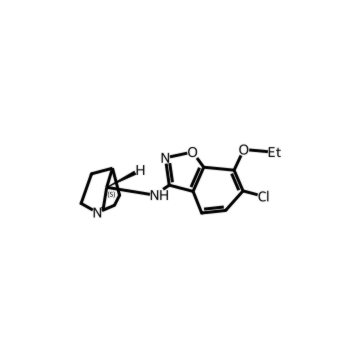 CCOc1c(Cl)ccc2c(N[C@@H]3CN4CCC3CC4)noc12